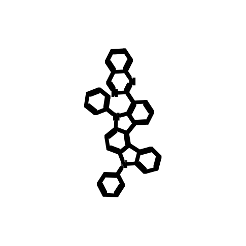 c1ccc(-n2c3ccccc3c3c4c5cccc(-c6ncc7ccccc7n6)c5n(-c5ccccc5)c4ccc32)cc1